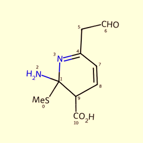 CSC1(N)N=C(CC=O)C=CC1C(=O)O